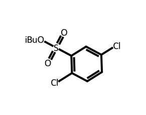 CC(C)COS(=O)(=O)c1cc(Cl)ccc1Cl